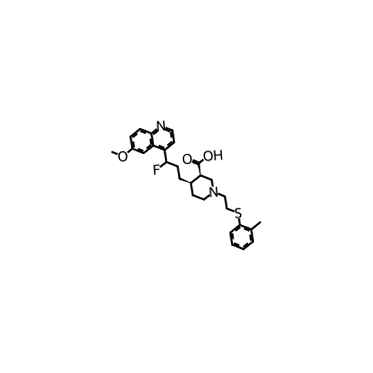 COc1ccc2nccc(C(F)CC[C@@H]3CCN(CCSc4ccccc4C)C[C@@H]3C(=O)O)c2c1